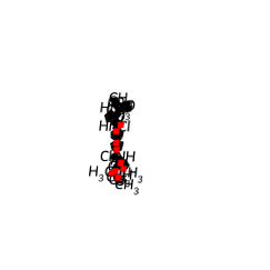 COC(=O)N[C@H](C(=O)N1[C@@H](C)CC[C@H]1c1nc(Cl)c(-c2ccc(-c3ccc(-c4[nH]c([C@@H]5CC[C@H](C)N5C(=O)[C@@H](NC(=O)OC)C5CCOCC5)nc4Cl)cc3)cc2)[nH]1)C(C)C